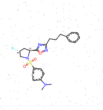 CN(C)c1ccc(S(=O)(=O)N2C[C@H](F)C[C@H]2c2nc(CCCc3ccccc3)no2)cc1